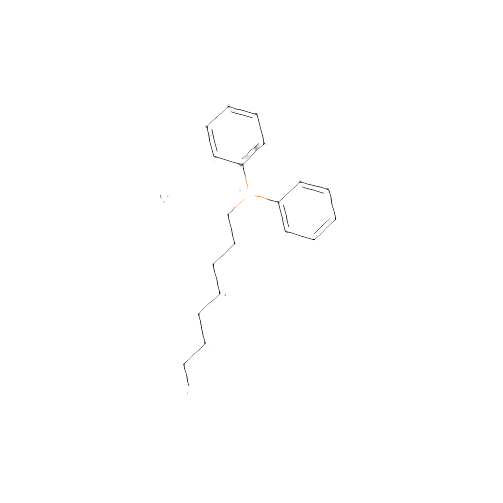 CCCCCCCCP(c1ccccc1)c1ccccc1.[Mo]